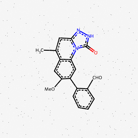 COc1cc2c(C)cc3n[nH]c(=O)n3c2cc1-c1ccccc1C=O